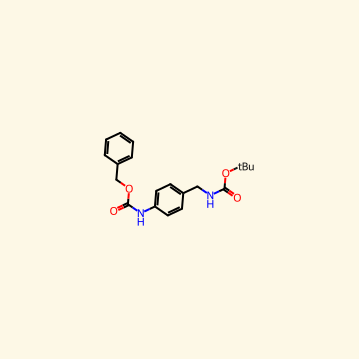 CC(C)(C)OC(=O)NCc1ccc(NC(=O)OCc2ccccc2)cc1